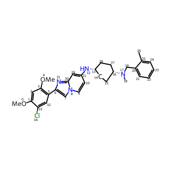 COc1cc(OC)c(-c2cn3ccc(N[C@H]4CC[C@@H](N(C)Cc5ccccc5C)CC4)cc3n2)cc1Cl